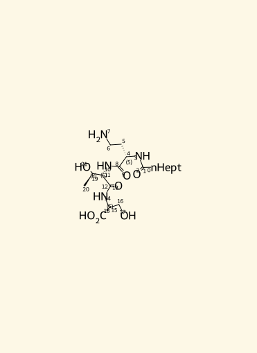 CCCCCCCC(=O)N[C@@H](CCN)C(=O)N[C@H](C(=O)N[C@@H](CO)C(=O)O)[C@@H](C)O